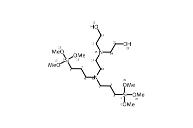 CO[Si](CCCN(CCC[Si](OC)(OC)OC)CCN(CCO)CCO)(OC)OC